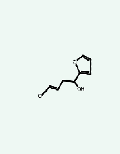 OC(CC=CCl)c1ccco1